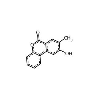 Cc1cc2c(=O)oc3ccccc3c2cc1O